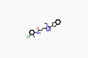 CCn1c(CCC(=O)Nc2cccc(Cl)c2C)nnc1C1Cc2ccccc2C1